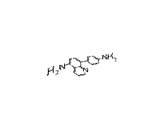 Nc1ccc(-c2ccc(N)c3cccnc23)cc1